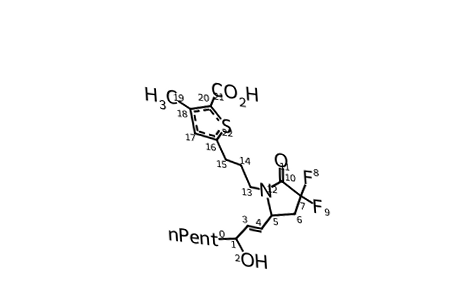 CCCCCC(O)C=CC1CC(F)(F)C(=O)N1CCCc1cc(C)c(C(=O)O)s1